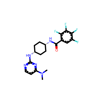 CN(C)c1ccnc(N[C@H]2CC[C@@H](NC(=O)c3cc(F)c(F)c(F)c3F)CC2)n1